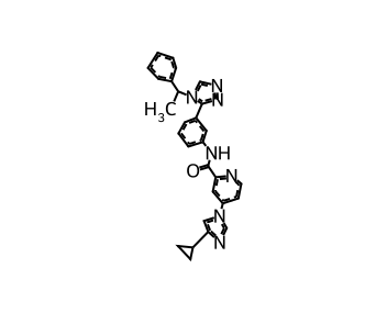 CC(c1ccccc1)n1cnnc1-c1cccc(NC(=O)c2cc(-n3cnc(C4CC4)c3)ccn2)c1